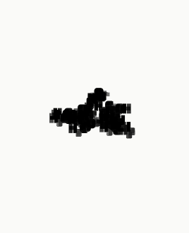 C=C1CC(C(=O)c2cc(OC)c(OCCCCCOc3cc(NC(=O)OC(C)(C)C)c(C(=O)C4CC(=C)C[C@H]4CO)cc3OC)cc2NC(=O)OCCSSc2ccc([N+](=O)[O-])cn2)[C@H](CO[Si](C)(C)C(C)(C)C)C1